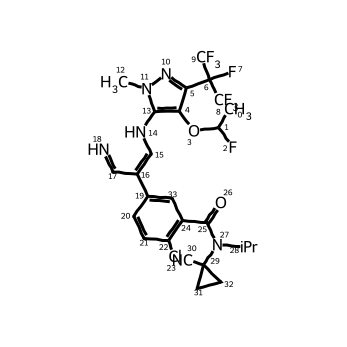 CC(F)Oc1c(C(F)(C(F)(F)F)C(F)(F)F)nn(C)c1N/C=C(\C=N)c1ccc(Cl)c(C(=O)N(C(C)C)C2(C#N)CC2)c1